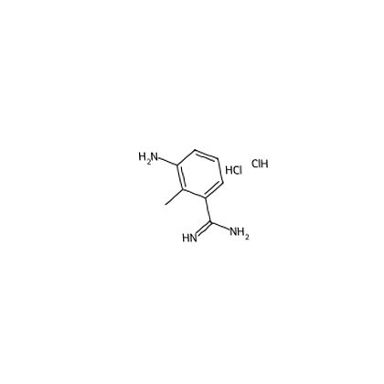 Cc1c(N)cccc1C(=N)N.Cl.Cl